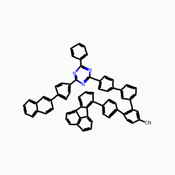 N#Cc1ccc(-c2ccc(-c3cccc4c3-c3cccc5cccc-4c35)cc2)c(-c2cccc(-c3ccc(-c4nc(-c5ccccc5)nc(-c5ccc(-c6ccc7ccccc7c6)cc5)n4)cc3)c2)c1